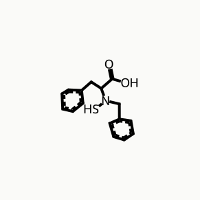 O=C(O)C(Cc1ccccc1)N(S)Cc1ccccc1